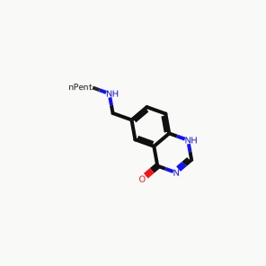 CCCCCNCc1ccc2[nH]cnc(=O)c2c1